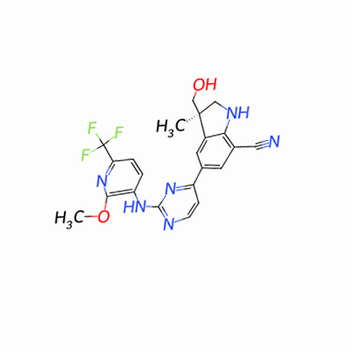 COc1nc(C(F)(F)F)ccc1Nc1nccc(-c2cc(C#N)c3c(c2)[C@@](C)(CO)CN3)n1